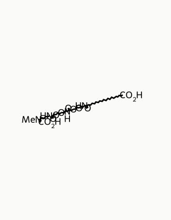 CN[C@@H](CCCCNC(=O)COCCOCCNC(=O)COCCOCCNC(=O)CCCCCCCCCCCCCCCCCCC(=O)O)C(=O)O